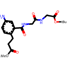 COC(=O)CCc1ccc(N)cc1C(=O)NCC(=O)NCC(=O)OC(C)(C)C